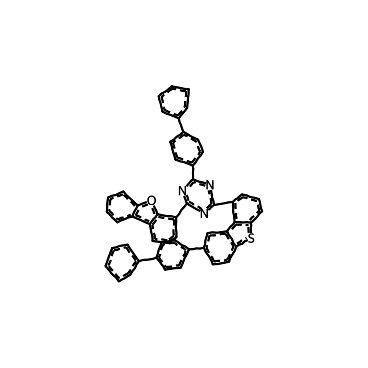 c1ccc(-c2ccc(-c3ccc4sc5cccc(-c6nc(-c7ccc(-c8ccccc8)cc7)nc(-c7cccc8c7oc7ccccc78)n6)c5c4c3)cc2)cc1